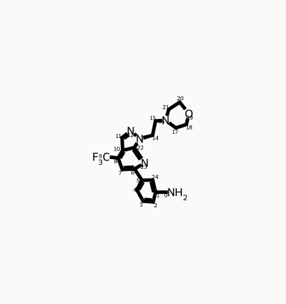 Nc1cccc(-c2cc(C(F)(F)F)c3cnn(CCN4CCOCC4)c3n2)c1